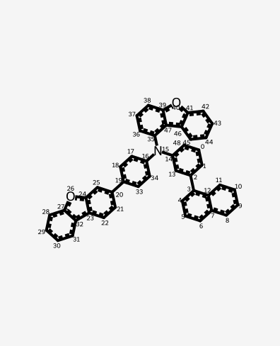 c1cc(-c2cccc3ccccc23)cc(N(c2ccc(-c3ccc4c(c3)oc3ccccc34)cc2)c2cccc3oc4ccccc4c23)c1